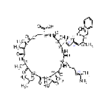 C=C1C(=O)N[C@H](C)C(=O)N[C@@H](CC(C)C)C(=O)N[C@@H](C(=O)O)[C@H](C)C(=O)N[C@@H](CCC/N=C(\C)N)C(=O)N[C@@H](/C=C/C(C)=C/[C@H](C)[C@H](Cc2ccccc2)OC)[C@H](C)C(=O)N[C@@H](C(=O)O)CCC(=O)N1C